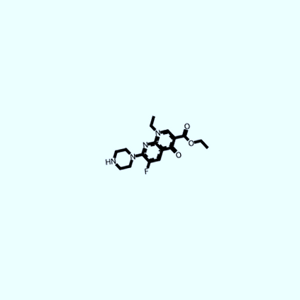 CCOC(=O)c1cn(CC)c2nc(N3CCNCC3)c(F)cc2c1=O